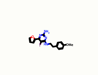 COc1ccc(CCNc2nc(N)nc(-c3ccco3)c2I)cc1